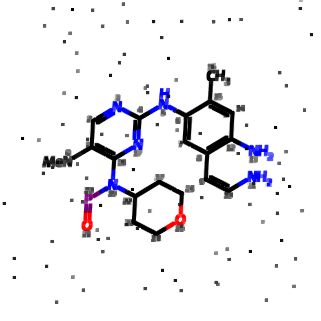 CNc1cnc(Nc2cc(/C=C\N)c(N)cc2C)nc1N(P=O)C1CCOCC1